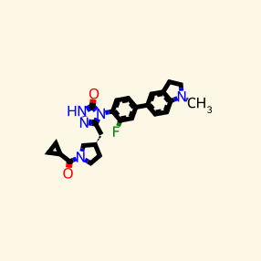 CN1CCc2cc(-c3ccc(-n4c(C[C@@H]5CCN(C(=O)C6CC6)C5)n[nH]c4=O)c(F)c3)ccc21